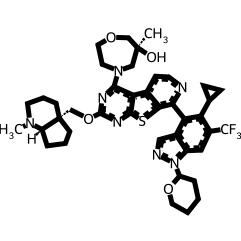 CN1CCC[C@@]2(COc3nc(N4CCOC[C@@](C)(O)C4)c4c(n3)sc3c(-c5c(C6CC6)c(C(F)(F)F)cc6c5cnn6C5CCCCO5)nccc34)CCC[C@@H]12